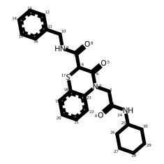 O=C(CN1C(=O)C(C(=O)NCc2ccccc2)Sc2ccccc21)NC1CCCCC1